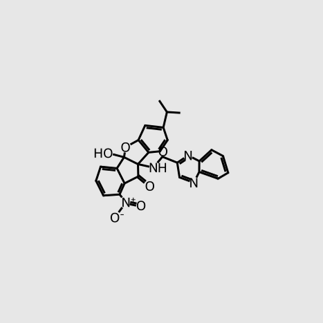 CC(C)c1ccc2c(c1)OC1(O)c3cccc([N+](=O)[O-])c3C(=O)C21NC(=O)c1cnc2ccccc2n1